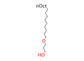 CCCCCCCCCCCCCCCCCOCCCO